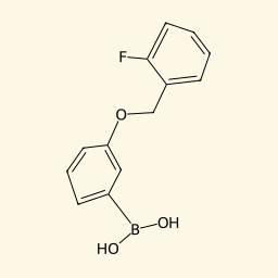 OB(O)c1cccc(OCc2ccccc2F)c1